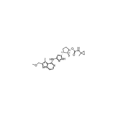 COCc1nn2ccnc(Nc3cc([C@@H]4CC[C@H](OC(=O)NC5(C)CC5)[C@H]4F)[nH]n3)c2c1C